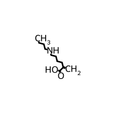 C=C(CCCCNCCCC)C(=O)O